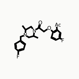 CC(=O)c1cc(F)ccc1OCC(=O)N1CC(C)N(Cc2ccc(F)cc2)CC1C